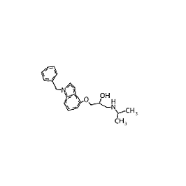 CC(C)NCC(O)COc1cccc2c1ccn2Cc1ccccc1